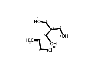 C=CCCl.OCP(CO)CO